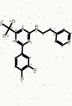 Clc1ccc(-c2nc(NCCc3ccncc3)nc(C(Cl)(Cl)Cl)n2)cc1Cl